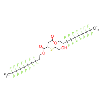 O=C(CC(SCCO)C(=O)OCCC(F)(F)C(F)(F)C(F)(F)C(F)(F)C(F)(F)C(F)(F)C(F)(F)C(F)(F)F)OCCC(F)(F)C(F)(F)C(F)(F)C(F)(F)C(F)(F)C(F)(F)C(F)(F)C(F)(F)F